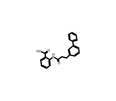 O=C(CCc1cccc(-c2ccccc2)c1)Nc1ccccc1C(=O)O